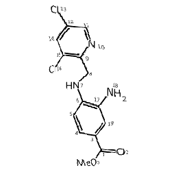 COC(=O)c1ccc(NCc2ncc(Cl)cc2Cl)c(N)c1